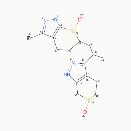 CC(C)c1n[nH]c2c1CCC(CC(C)c1n[nH]c3c1CC[S+]([O-])C3)[S+]2[O-]